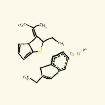 CCC1=Cc2ccccc2C1.CCC1SC2=CC=CC2C1=C(C)C.[Cl-].[Cl-].[Zr+2]